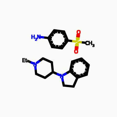 CCN1CCC(N2CCc3ccccc32)CC1.CS(=O)(=O)c1ccc(N)cc1